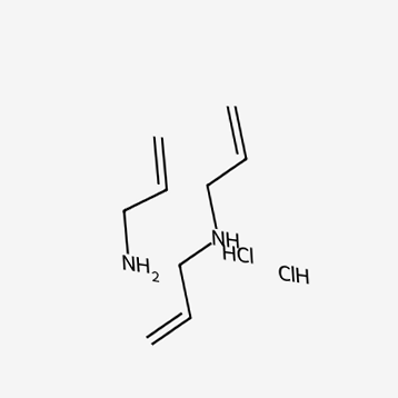 C=CCN.C=CCNCC=C.Cl.Cl